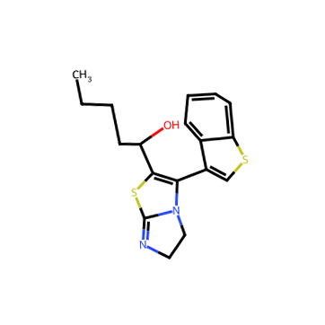 CCCCC(O)C1=C(c2csc3ccccc23)N2CCN=C2S1